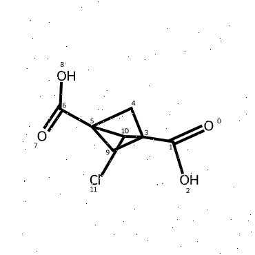 O=C(O)C12CC(C(=O)O)(C1)C2Cl